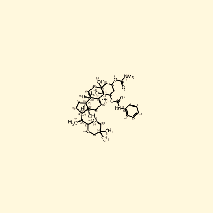 CNC(=O)OC1CC(OC(=O)Nc2ccccc2)[C@]2(C)[C@H]3CC[C@]4(C)[C@@H](C(C)C5OCC(C)(C)CO5)CC[C@H]4[C@@H]3CCC2(O)C1